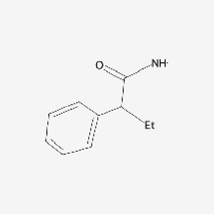 CCC(C([NH])=O)c1ccccc1